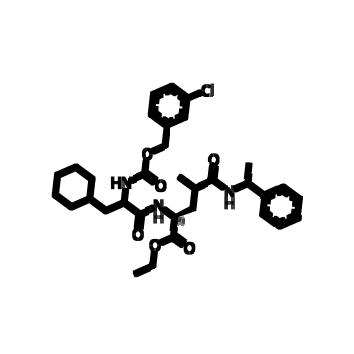 CCOC(=O)[C@H](CC(C)C(=O)NC(C)c1ccccc1)NC(=O)C(CC1CCCCC1)NC(=O)OCc1cccc(Cl)c1